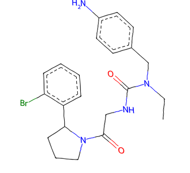 CCN(Cc1ccc(N)cc1)C(=O)NCC(=O)N1CCCC1c1ccccc1Br